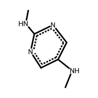 CNc1cnc(NC)nc1